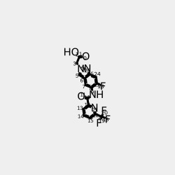 O=C(O)Cn1cc2cc(NC(=O)c3cccc(C(F)(F)F)n3)c(F)cc2n1